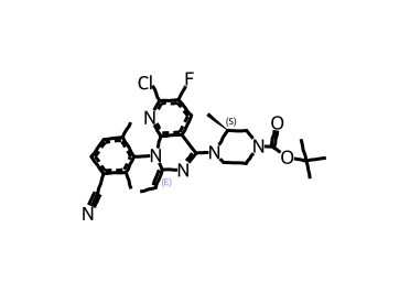 C/C=C1/N=C(N2CCN(C(=O)OC(C)(C)C)C[C@@H]2C)c2cc(F)c(Cl)nc2N1c1c(C)ccc(C#N)c1C